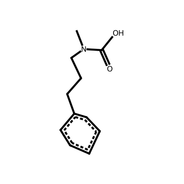 CN(CCCc1ccccc1)C(=O)O